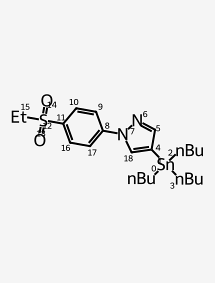 CCC[CH2][Sn]([CH2]CCC)([CH2]CCC)[c]1cnn(-c2ccc(S(=O)(=O)CC)cc2)c1